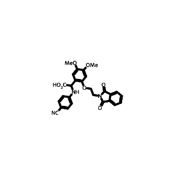 COc1cc(OCCN2C(=O)c3ccccc3C2=O)c(C(Nc2ccc(C#N)cc2)C(=O)O)cc1OC